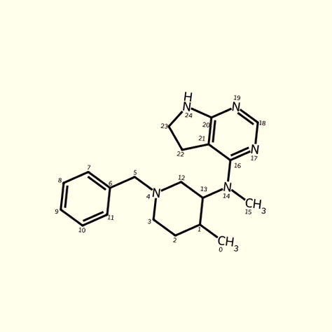 CC1CCN(Cc2ccccc2)CC1N(C)c1ncnc2c1CCN2